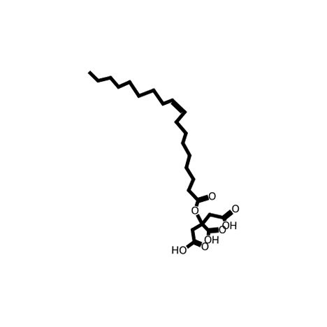 CCCCCCCC/C=C\CCCCCCCC(=O)OC(CC(=O)O)(CC(=O)O)C(=O)O